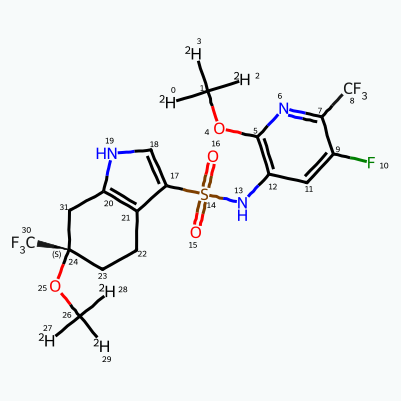 [2H]C([2H])([2H])Oc1nc(C(F)(F)F)c(F)cc1NS(=O)(=O)c1c[nH]c2c1CC[C@@](OC([2H])([2H])[2H])(C(F)(F)F)C2